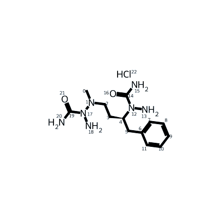 CN(CC[C@H](Cc1ccccc1)N(N)C(N)=O)N(N)C(N)=O.Cl